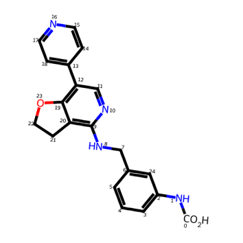 O=C(O)Nc1cccc(CNc2ncc(-c3ccncc3)c3c2CCO3)c1